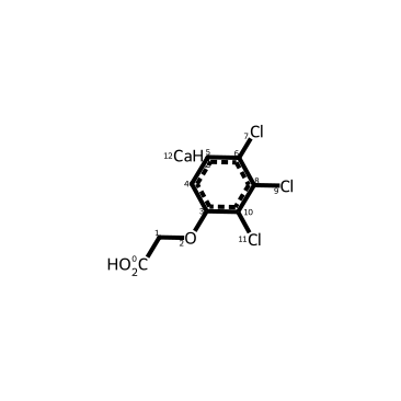 O=C(O)COc1ccc(Cl)c(Cl)c1Cl.[CaH2]